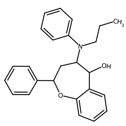 CCCN(c1ccccc1)C1CC(c2ccccc2)Oc2ccccc2C1O